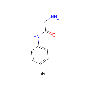 CC(C)c1ccc(NC(=O)CN)cc1